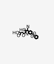 N#Cc1c(O)c(C(=O)CC(C=O)CO)nc2cc(S(=O)(=O)c3ccccc3)ccc12